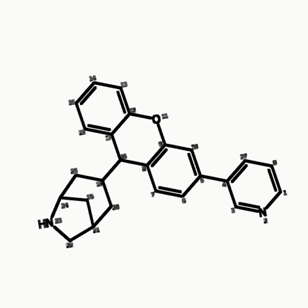 c1cncc(-c2ccc3c(c2)Oc2ccccc2C3C2CC3CNC(C3)C2)c1